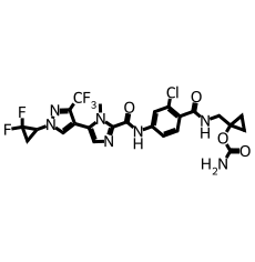 Cn1c(-c2cn(C3CC3(F)F)nc2C(F)(F)F)cnc1C(=O)Nc1ccc(C(=O)NCC2(OC(N)=O)CC2)c(Cl)c1